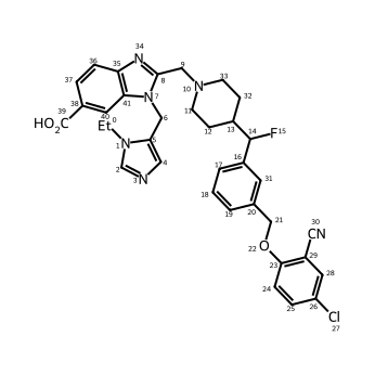 CCn1cncc1Cn1c(CN2CCC(C(F)c3cccc(COc4ccc(Cl)cc4C#N)c3)CC2)nc2ccc(C(=O)O)cc21